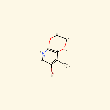 Cc1c(Br)cnc2c1OCCO2